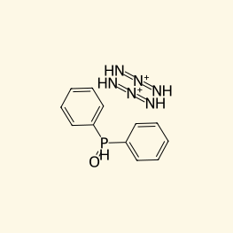 N=[N+]=N.N=[N+]=N.O=[PH](c1ccccc1)c1ccccc1